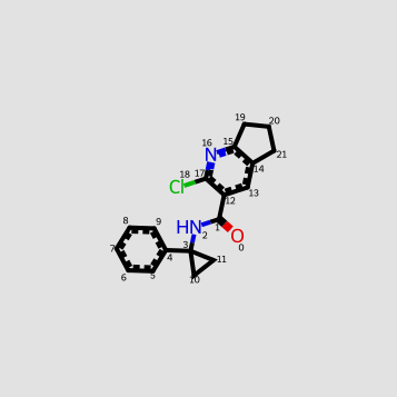 O=C(NC1(c2ccccc2)CC1)c1cc2c(nc1Cl)CCC2